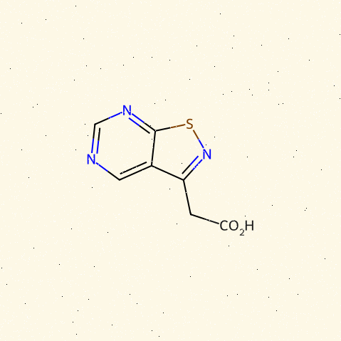 O=C(O)Cc1nsc2ncncc12